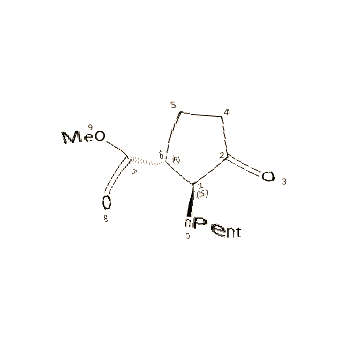 CCCCC[C@@H]1C(=O)CC[C@H]1C(=O)OC